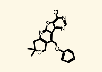 CC1(C)Cc2nc3sc4c(Cl)ncnc4c3c(COc3ccccc3)c2CO1